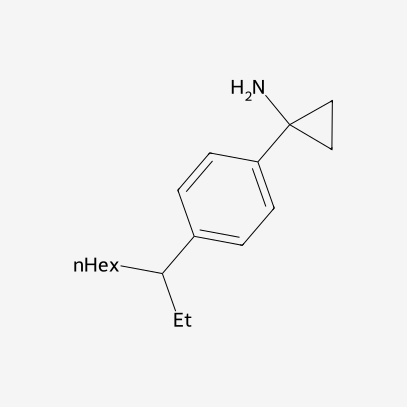 CCCCCCC(CC)c1ccc(C2(N)CC2)cc1